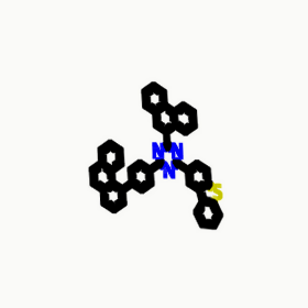 c1ccc2c(c1)cc(-c1nc(-c3ccc(-c4cccc5ccc6ccccc6c45)cc3)nc(-c3ccc4sc5ccccc5c4c3)n1)c1ccccc12